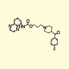 O=C(Nc1cccc2nccnc12)OCCCN1CCC(C(=O)c2ccc(F)cc2)CC1